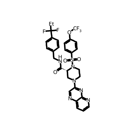 CCC(F)(F)c1ccc(CNC(=O)[C@H]2CN(c3cnc4cccnc4n3)CCN2S(=O)(=O)c2ccc(OC(F)(F)F)cc2)cc1